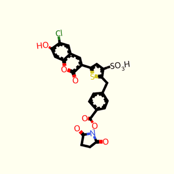 O=C(ON1C(=O)CCC1=O)c1ccc(Cc2sc(-c3cc4cc(Cl)c(O)cc4oc3=O)cc2S(=O)(=O)O)cc1